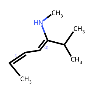 C/C=C\C=C(/NC)C(C)C